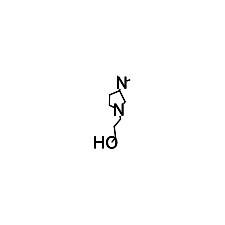 CN(C)C1CCN(CCCO)C1